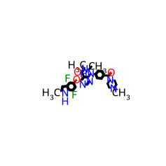 CCN(C)C(=O)c1c(Nc2ccc(C(=O)N3CCN(C)CC3)cc2)ncnc1Oc1cc(F)c2[nH]c(C)cc2c1F